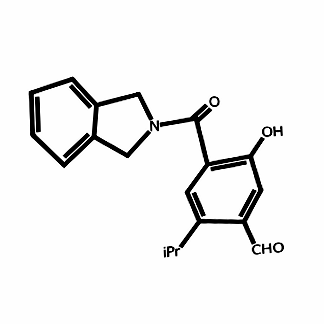 CC(C)c1cc(C(=O)N2Cc3ccccc3C2)c(O)cc1C=O